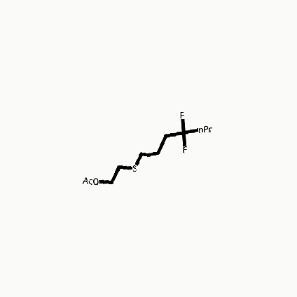 CCCC(F)(F)CCCSCCOC(C)=O